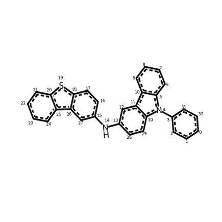 c1ccc(-n2c3ccccc3c3cc(Nc4ccc5sc6ccccc6c5c4)ccc32)cc1